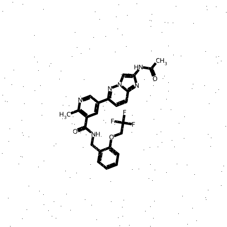 CC(=O)Nc1cn2nc(-c3cnc(C)c(C(=O)NCc4ccccc4OCC(F)(F)F)c3)ccc2n1